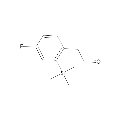 C[Si](C)(C)c1cc(F)ccc1CC=O